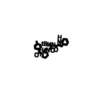 Cc1ccc(C(=O)N2CCCC3[C@H]2CN3C(=O)[C@@H](NC(=O)c2cc3ccccc3[nH]2)C(C)(C)C)cc1